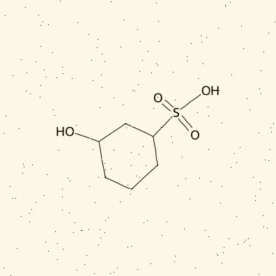 O=S(=O)(O)C1CCCC(O)C1